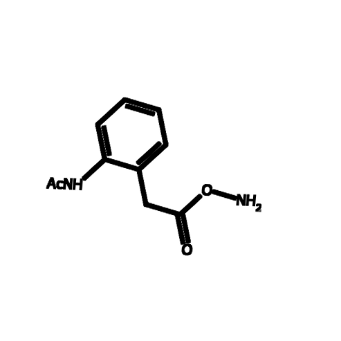 CC(=O)Nc1ccccc1CC(=O)ON